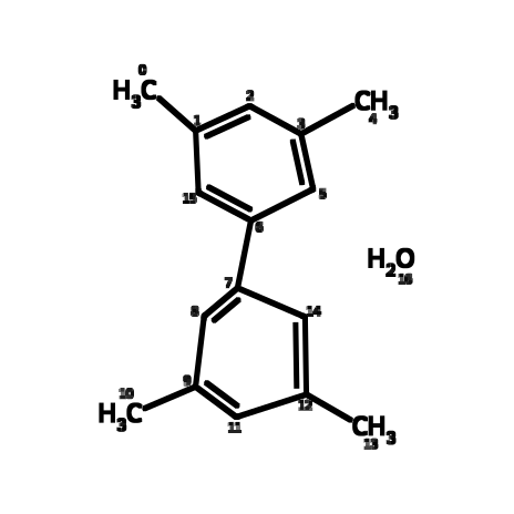 Cc1cc(C)cc(-c2cc(C)cc(C)c2)c1.O